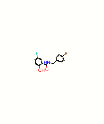 O=C(NCc1ccc(Br)cc1)c1cc(F)ccc1O